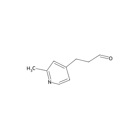 Cc1cc(CCC=O)ccn1